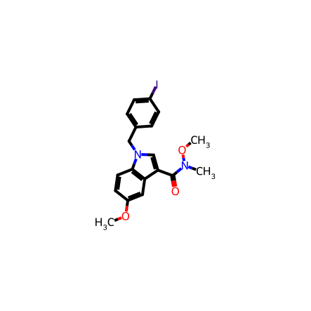 COc1ccc2c(c1)c(C(=O)N(C)OC)cn2Cc1ccc(I)cc1